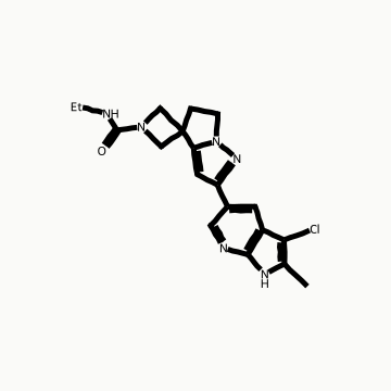 CCNC(=O)N1CC2(CCn3nc(-c4cnc5[nH]c(C)c(Cl)c5c4)cc32)C1